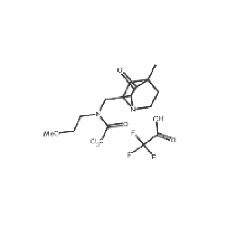 COCCN(CC1C(=O)C2(C)CCN1CC2)C(=O)C(Cl)(Cl)Cl.O=C(O)C(F)(F)F